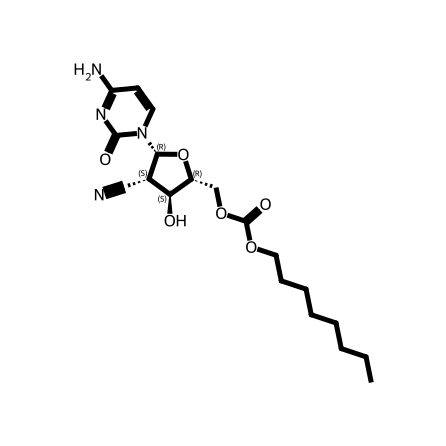 CCCCCCCCOC(=O)OC[C@H]1O[C@@H](n2ccc(N)nc2=O)[C@@H](C#N)[C@@H]1O